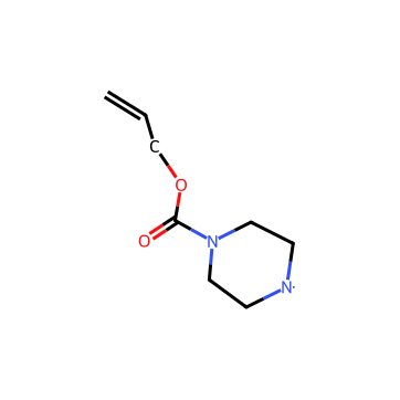 C=CCOC(=O)N1CC[N]CC1